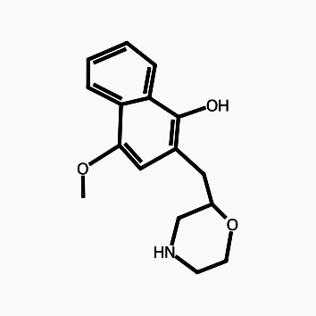 COc1cc(CC2CNCCO2)c(O)c2ccccc12